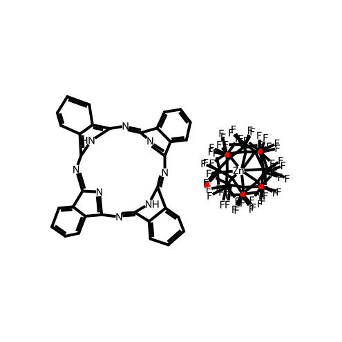 FC(F)(F)[C](F)(C(F)(F)F)[Zn]([C](F)(C(F)(F)F)C(F)(F)F)([C](F)(C(F)(F)F)C(F)(F)F)([C](F)(C(F)(F)F)C(F)(F)F)([C](F)(C(F)(F)F)C(F)(F)F)([C](F)(C(F)(F)F)C(F)(F)F)([C](F)(C(F)(F)F)C(F)(F)F)[C](F)(C(F)(F)F)C(F)(F)F.c1ccc2c(c1)-c1nc-2nc2[nH]c(nc3nc(nc4[nH]c(n1)c1ccccc41)-c1ccccc1-3)c1ccccc21